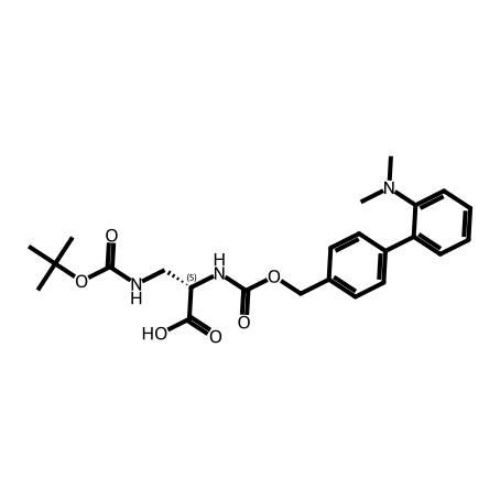 CN(C)c1ccccc1-c1ccc(COC(=O)N[C@@H](CNC(=O)OC(C)(C)C)C(=O)O)cc1